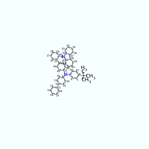 CC(C)(C)c1ccc(N(c2ccc(-c3ccccc3)cc2)c2ccc(-c3ccccc3-n3c4ccccc4c4ccccc43)cc2)cc1